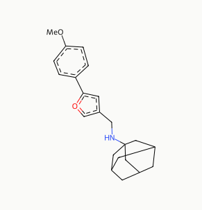 COc1ccc(-c2cc(CNC34CC5CC(CC(C5)C3)C4)co2)cc1